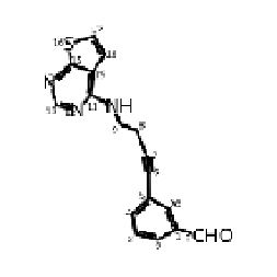 O=Cc1cccc(C#CCCNc2ncnc3sccc23)c1